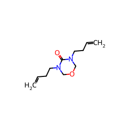 C=CCCN1COCN(CCC=C)C1=O